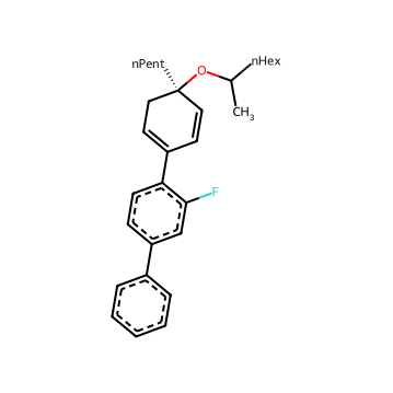 CCCCCCC(C)O[C@@]1(CCCCC)C=CC(c2ccc(-c3ccccc3)cc2F)=CC1